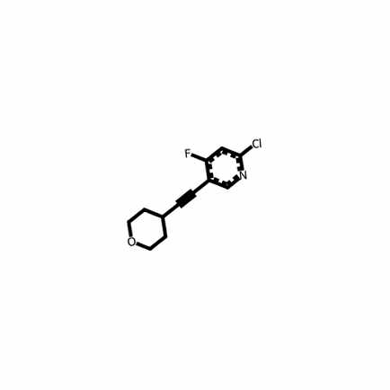 Fc1cc(Cl)ncc1C#CC1CCOCC1